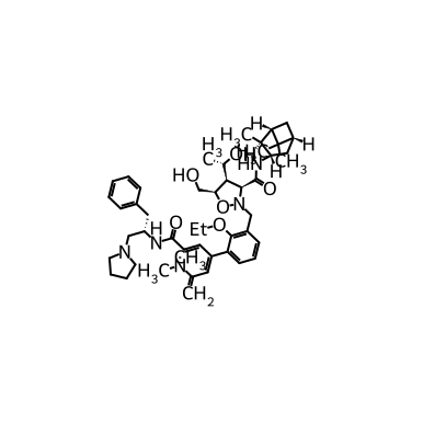 C=C(/C=C(\C=C\C(=O)N[C@@H](Cc1ccccc1)CN1CCCC1)c1cccc(CN2O[C@@H](CO)[C@@H]([C@H](C)O)[C@H]2C(=O)N[C@H]2C[C@H]3C[C@@H]([C@@H]2C)C3(C)C)c1OCC)N(C)C